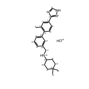 Cc1cc(-c2nc[nH]n2)ccc1-c1cccc(CNC2CCC(C)(C)CC2)c1.Cl